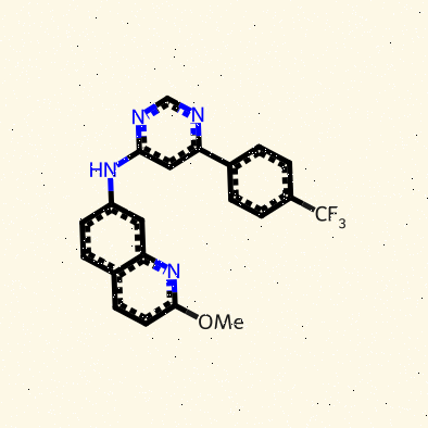 COc1ccc2ccc(Nc3cc(-c4ccc(C(F)(F)F)cc4)ncn3)cc2n1